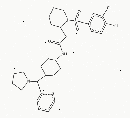 O=C(CC1CCCCN1S(=O)(=O)c1ccc(Cl)c(Cl)c1)NC1CCC(C(c2ccccc2)N2CCCC2)CC1